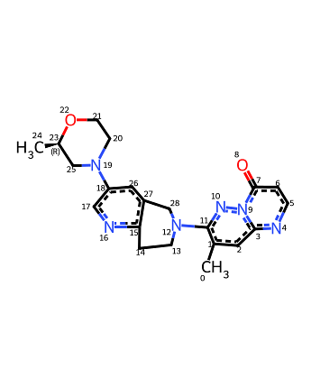 Cc1cc2nccc(=O)n2nc1N1CCc2ncc(N3CCO[C@H](C)C3)cc2C1